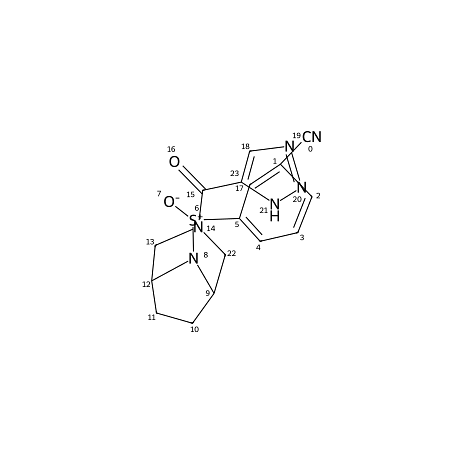 N#Cc1cccc([S+]([O-])N2C3CCC2CN(C(=O)c2cnn[nH]2)C3)c1